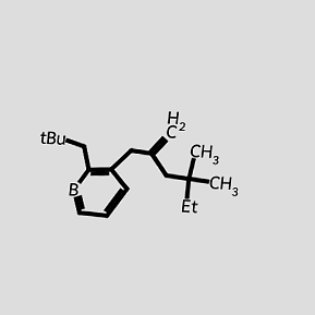 C=C(Cc1cccbc1CC(C)(C)C)CC(C)(C)CC